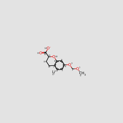 COCOc1ccc2c(c1)OC(C(=O)[O-])CC2.[Li+]